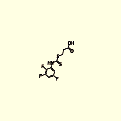 O=C(O)CCSC(=S)Nc1cc(F)cc(F)c1F